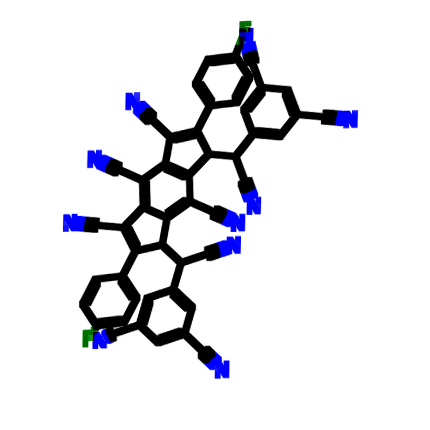 N#CC1=C(c2ccc(F)cc2)C(C(C#N)c2cc(C#N)cc(C#N)c2)c2c(C#N)c3c(c(C#N)c21)C(C#N)=C(c1ccc(F)cc1)C3C(C#N)c1cc(C#N)cc(C#N)c1